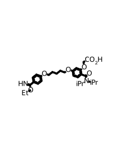 CCOC(=N)c1ccc(OCCCCCOc2ccc(C(=O)N(C(C)C)C(C)C)c(OCC(=O)O)c2)cc1